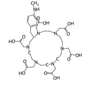 CNc1ccc(CC2CN(CC(=O)O)CCN(CC(=O)O)CCN(CC(=O)O)CCN(CC(=O)O)CCN(CC(=O)O)CCN2CC(=O)O)cc1